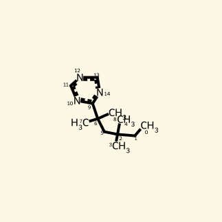 CCC(C)(C)CC(C)(C)c1ncncn1